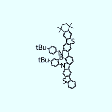 CC(C)(C)c1ccc(N2B3c4cc(C(C)(C)C)ccc4-n4c5cc6sc7ccccc7c6cc5c5ccc(c3c54)-c3cc4sc5cc6c(cc5c4cc32)C(C)(C)CCC6(C)C)cc1